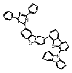 c1ccc(-c2nc(-c3ccccc3)nc(-c3ccc4oc5ccc(-c6cccc7c6sc6c(-n8c9ccccc9c9ccccc98)cccc67)cc5c4c3)n2)cc1